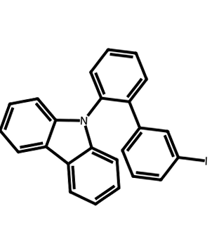 Ic1cccc(-c2ccccc2-n2c3ccccc3c3ccccc32)c1